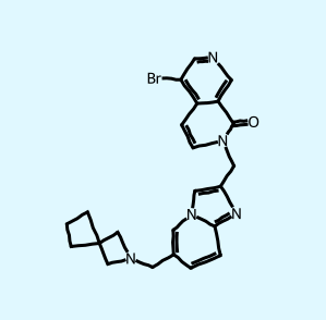 O=c1c2cncc(Br)c2ccn1Cc1cn2cc(CN3CC4(CCC4)C3)ccc2n1